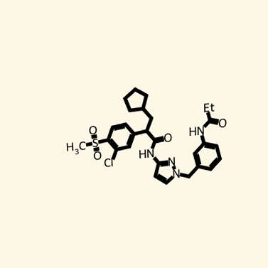 CCC(=O)Nc1cccc(Cn2ccc(NC(=O)C(CC3CCCC3)c3ccc(S(C)(=O)=O)c(Cl)c3)n2)c1